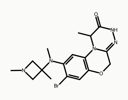 CC1C(=O)NN=C2COc3cc(Br)c(N(C)C4(C)CN(C)C4)cc3N21